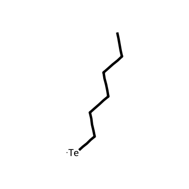 CCCCCC[Te]